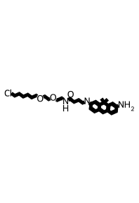 CC1(C)C2=C/C(=N/CCCC(=O)NCCOCCOCCCCCCCl)C=CC2=Cc2ccc(N)cc21